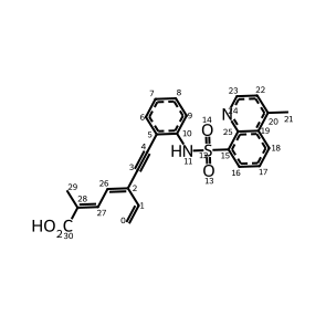 C=C/C(C#Cc1ccccc1NS(=O)(=O)c1cccc2c(C)ccnc12)=C\C=C(/C)C(=O)O